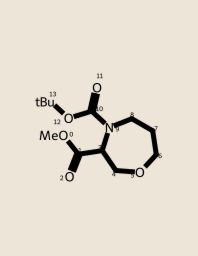 COC(=O)C1COCCCN1C(=O)OC(C)(C)C